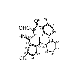 Cc1ccccc1C(=O)N(C=O)CC(=N)c1cc(Cl)ccc1NC1CCCCO1